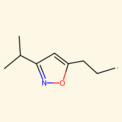 [CH2]CCc1cc(C(C)C)no1